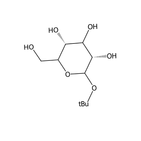 CC(C)(C)OC1OC(CO)[C@H](O)C(O)[C@@H]1O